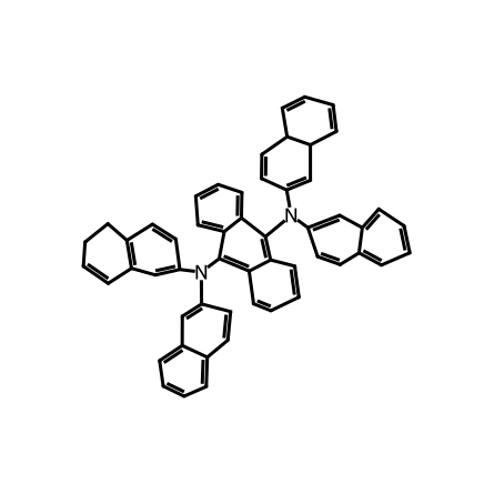 C1=CC2C=CC(N(c3ccc4ccccc4c3)c3c4ccccc4c(N(c4ccc5c(c4)C=CCC5)c4ccc5ccccc5c4)c4ccccc34)=CC2C=C1